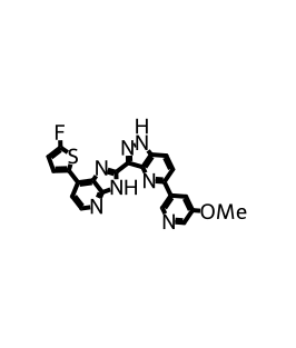 COc1cncc(-c2ccc3[nH]nc(-c4nc5c(-c6ccc(F)s6)ccnc5[nH]4)c3n2)c1